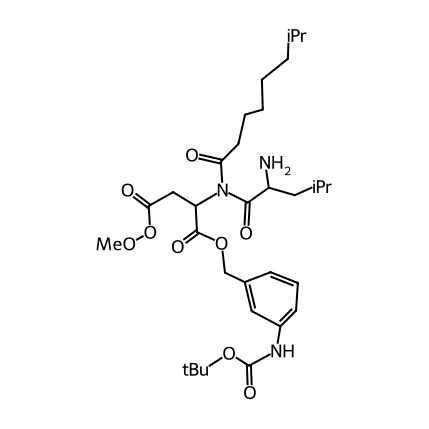 COOC(=O)CC(C(=O)OCc1cccc(NC(=O)OC(C)(C)C)c1)N(C(=O)CCCCCC(C)C)C(=O)C(N)CC(C)C